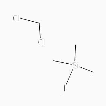 C[Si](C)(C)I.ClCCl